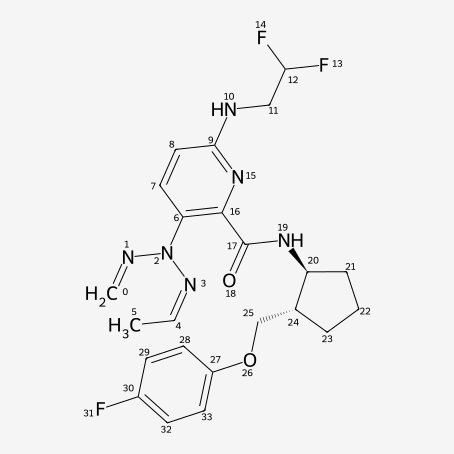 C=NN(/N=C\C)c1ccc(NCC(F)F)nc1C(=O)N[C@H]1CCC[C@@H]1COc1ccc(F)cc1